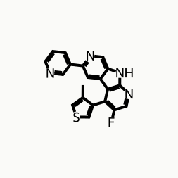 Cc1cscc1-c1c(F)cnc2[nH]c3cnc(-c4cccnc4)cc3c12